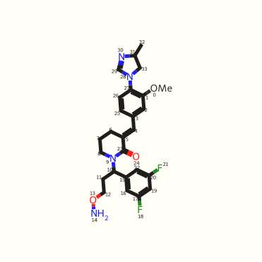 COc1cc(/C=C2\CCCN(C(CCON)c3cc(F)cc(F)c3)C2=O)ccc1N1C=NC(C)C1